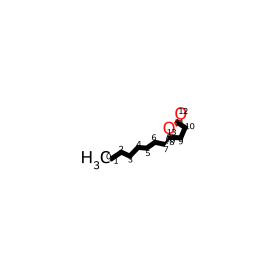 CCCCCCCC[C@@H]1CCC(=O)O1